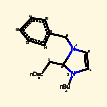 CCCCCCCCCCCC1N(CCCC)C=CN1Cc1ccccc1